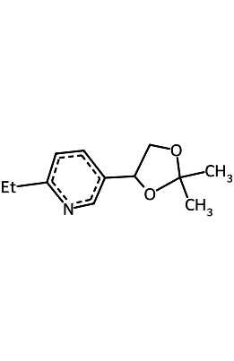 CCc1ccc(C2COC(C)(C)O2)cn1